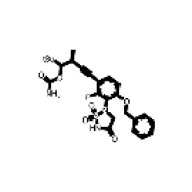 CC(C#Cc1ccc(OCc2ccccc2)c(N2CC(=O)NS2(=O)=O)c1F)C(OC(N)=O)C(C)(C)C